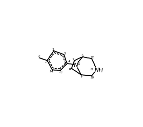 Cc1ccc(N2C3CCC2CNC3)cc1